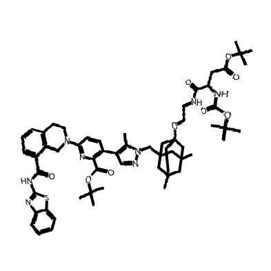 Cc1c(-c2ccc(N3CCc4cccc(C(=O)Nc5nc6ccccc6s5)c4C3)nc2C(=O)OC(C)(C)C)cnn1CC12CC3(C)CC(C)(C1)CC(OCCNC(=O)C(CC(=O)OC(C)(C)C)NC(=O)OC(C)(C)C)(C3)C2